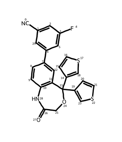 N#Cc1cc(F)cc(-c2ccc3c(c2)C(c2ccsc2)(c2ccsc2)OCC(=O)N3)c1